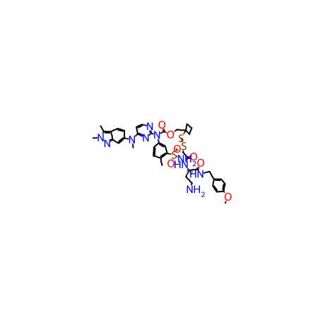 COc1ccc(CNC(=O)[C@@H](CCN)NC(=O)CSSC2(COC(=O)N(c3ccc(C)c(S(N)(=O)=O)c3)c3nccc(N(C)c4ccc5c(C)n(C)nc5c4)n3)CCC2)cc1